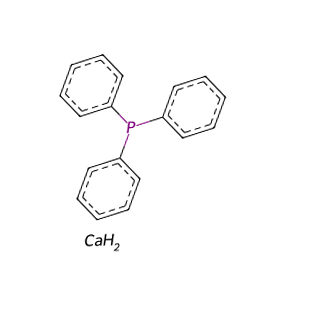 [CaH2].c1ccc(P(c2ccccc2)c2ccccc2)cc1